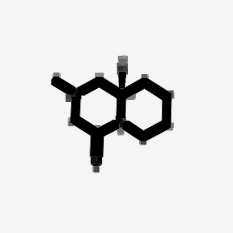 CN1CC(=O)N2CCCC[C@@H]2C1